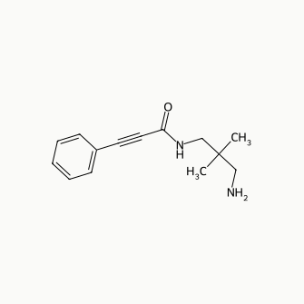 CC(C)(CN)CNC(=O)C#Cc1ccccc1